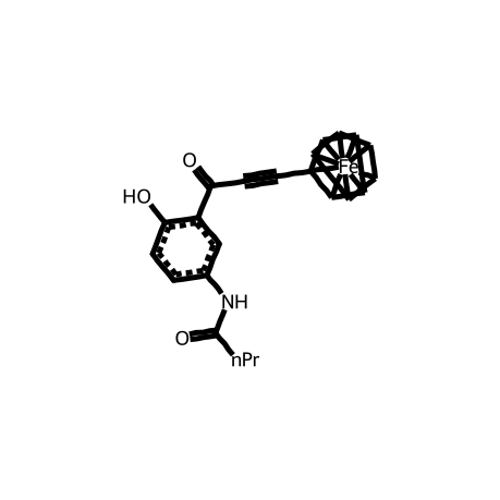 CCCC(=O)Nc1ccc(O)c(C(=O)C#C[C]23[CH]4[CH]5[CH]6[CH]2[Fe]56432789[CH]3[CH]2[CH]7[CH]8[CH]39)c1